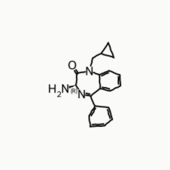 N[C@@H]1N=C(c2ccccc2)c2ccccc2N(CC2CC2)C1=O